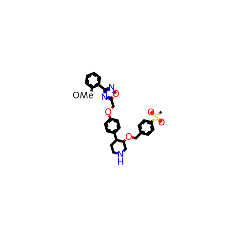 COc1ccccc1-c1noc(COc2ccc(C3CCNCC3OCc3ccc(S(C)(=O)=O)cc3)cc2)n1